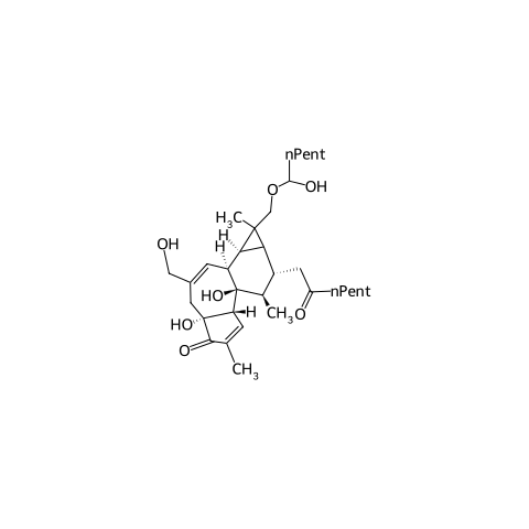 CCCCCC(=O)C[C@H]1C2[C@@H]([C@@H]3C=C(CO)C[C@]4(O)C(=O)C(C)=C[C@H]4[C@@]3(O)[C@@H]1C)C2(C)COC(O)CCCCC